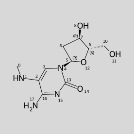 CNc1cn([C@H]2C[C@@H](O)[C@H](CO)O2)c(=O)nc1N